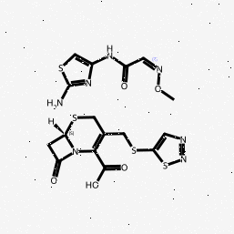 CO/N=C\C(=O)Nc1csc(N)n1.O=C(O)C1=C(CSc2cnns2)CS[C@H]2CC(=O)N12